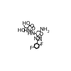 CC(O)C(NC(=O)N[C@@H](CC(N)=O)c1nc(-c2cc(F)ccc2F)no1)C(=O)O